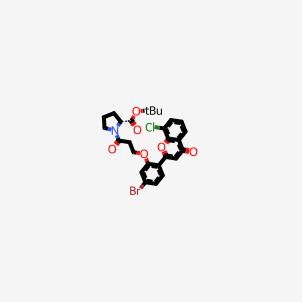 CC(C)(C)OC(=O)[C@H]1CCCN1C(=O)CCOc1cc(Br)ccc1-c1cc(=O)c2cccc(Cl)c2o1